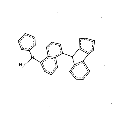 CN(c1ccccc1)c1cccc2c(C3c4ccccc4-c4ccccc43)cccc12